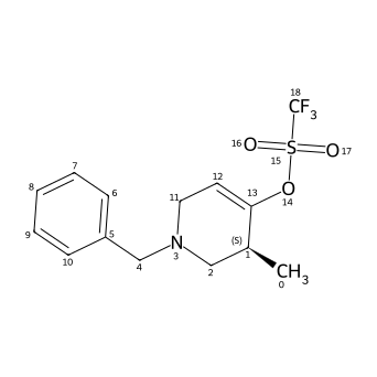 C[C@H]1CN(Cc2ccccc2)CC=C1OS(=O)(=O)C(F)(F)F